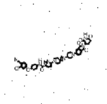 N#Cc1ccc(O[C@H]2CC[C@H](NC(=O)c3ccc(N4CCC5(CC4)CN(C4CCN(c6ccc7c(c6)C(=O)N(C6CCC(=O)NC6=O)C7=O)CC4)C5)nn3)CC2)cc1Cl